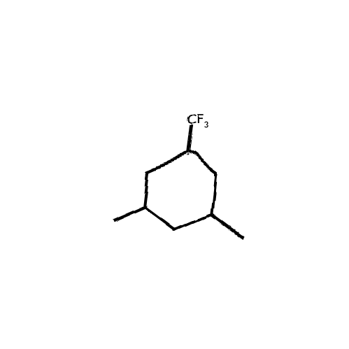 CC1C[C](C(F)(F)F)CC(C)C1